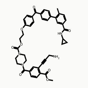 COC(=O)c1ccc(C(=O)N2CCN(C(=O)OCCOc3ccc(C(=O)c4ccc(-c5cc(C(=O)NC6CC6)ccc5C)cc4)cc3)CC2)cc1C#CCN